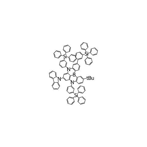 CC(C)(C)c1ccc2c(c1)B1c3ccc(-c4cccc([Si](c5ccccc5)(c5ccccc5)c5ccccc5)c4)cc3N(c3cccc([Si](c4ccccc4)(c4ccccc4)c4ccccc4)c3)c3cc(-n4c5ccccc5c5ccccc54)cc(c31)N2c1cccc([Si](c2ccccc2)(c2ccccc2)c2ccccc2)c1